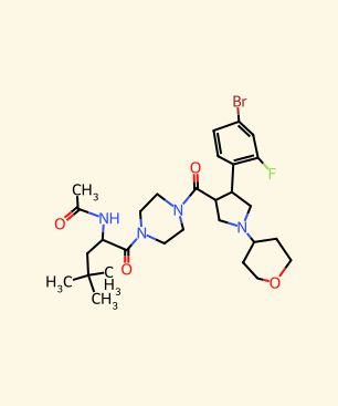 CC(=O)NC(CC(C)(C)C)C(=O)N1CCN(C(=O)C2CN(C3CCOCC3)CC2c2ccc(Br)cc2F)CC1